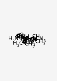 CCN(CC)c1ncc(-c2ccc(C(=O)NS(=O)(=O)c3cccc(N)n3)c(N3C[C@@H](C)CC3(C)C)n2)cc1C